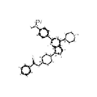 CN(C(=O)O)c1ccc(-c2nc(N3CCOCC3)c3cnn(C4CCN(CC(=O)c5ccccc5)CC4)c3n2)cc1